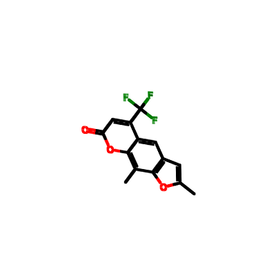 Cc1cc2cc3c(C(F)(F)F)cc(=O)oc3c(C)c2o1